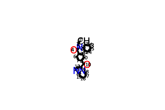 CCN(C(=O)c1ccc(C(=O)c2cnc3ccccn23)cc1)c1ccccc1